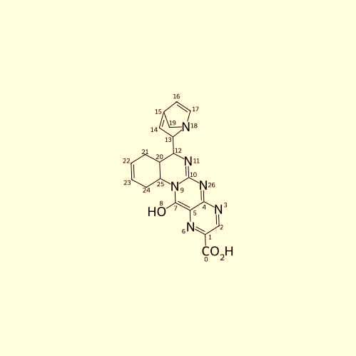 O=C(O)c1cnc2c(n1)=C(O)N1C(=NC(C3C=C4C=CN3C4)C3CC=CCC31)N=2